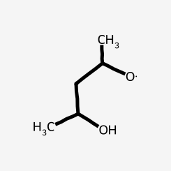 CC([O])CC(C)O